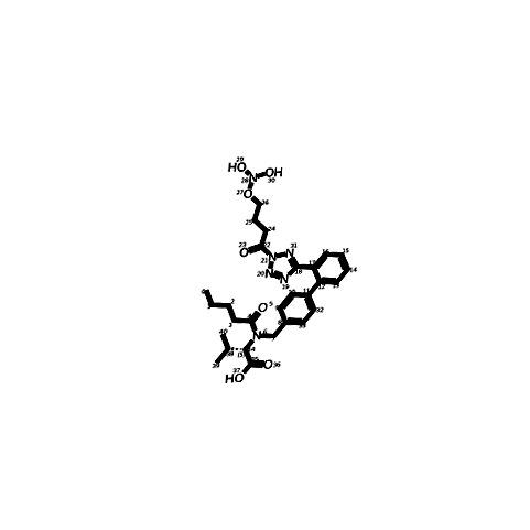 CCCCC(=O)N(Cc1ccc(-c2ccccc2-c2nnn(C(=O)CCCON(O)O)n2)cc1)[C@H](C(=O)O)C(C)C